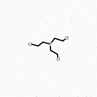 ClCCP(CCCl)CCCl